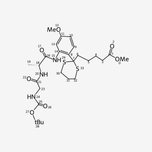 COC(=O)CCCCC1(c2ccc(OC)cc2NC(=O)[C@@H](C)NC(=O)CNC(=O)OC(C)(C)C)SCCCS1